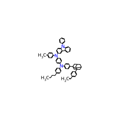 C=Cc1ccc(C23CC4CC(C2)CC(c2ccc(N(c5ccc(CCCC)cc5)c5ccc(N(c6ccc(C)cc6)c6ccc7c(c6)c6ccccc6n7-c6ccccc6)cc5)cc2)(C4)C3)cc1